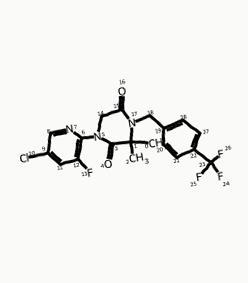 CC1(C)C(=O)N(c2ncc(Cl)cc2F)CC(=O)N1Cc1ccc(C(F)(F)F)cc1